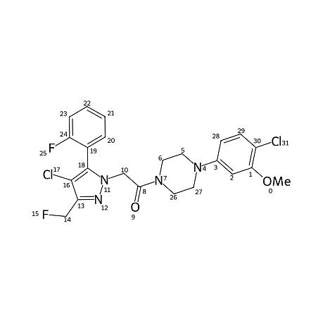 COc1cc(N2CCN(C(=O)Cn3nc(CF)c(Cl)c3-c3ccccc3F)CC2)ccc1Cl